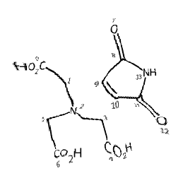 O=C(O)CN(CC(=O)O)CC(=O)O.O=C1C=CC(=O)N1